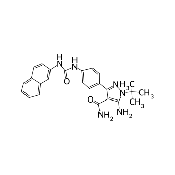 CC(C)(C)n1nc(-c2ccc(NC(=O)Nc3ccc4ccccc4c3)cc2)c(C(N)=O)c1N